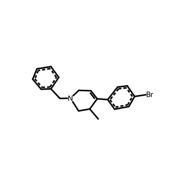 CC1CN(Cc2ccccc2)CC=C1c1ccc(Br)cc1